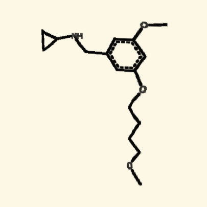 COCCCCOc1cc(CNC2CC2)cc(OC)c1